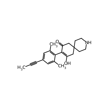 CC#Cc1cc(C)c(C2=C(O)CC3(CCNCC3)CC2=O)c(C)c1